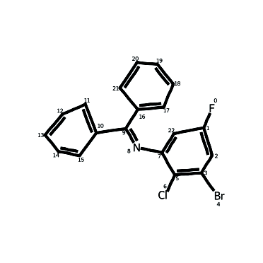 Fc1cc(Br)c(Cl)c(N=C(c2ccccc2)c2ccccc2)c1